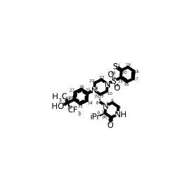 CC(C)[C@@H]1C(=O)NCCN1C[C@H]1CN(S(=O)(=O)C2=CC=CCC2=S)CCN1c1ccc([C@@](C)(O)C(F)(F)F)cc1